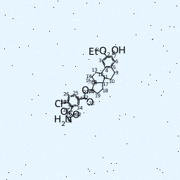 CCOc1cc2c(cc1O)CCC1C2CC[C@@]2(C)C1CC[C@@H]2OC(=O)c1ccc(Cl)c(S(N)(=O)=O)c1